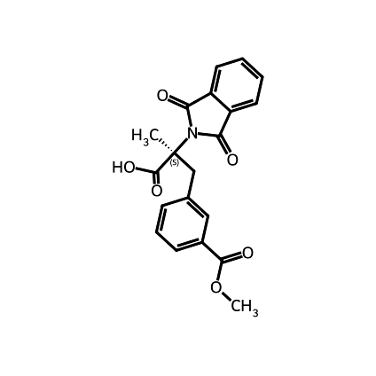 COC(=O)c1cccc(C[C@@](C)(C(=O)O)N2C(=O)c3ccccc3C2=O)c1